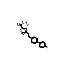 NC(=O)c1noc([CH]Cc2ccc(-c3ccc(F)cc3)cc2)n1